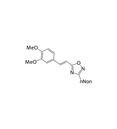 CCCCCCCCCc1noc(/C=C/c2ccc(OC)c(OC)c2)n1